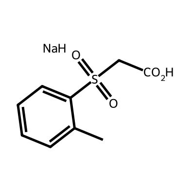 Cc1ccccc1S(=O)(=O)CC(=O)O.[NaH]